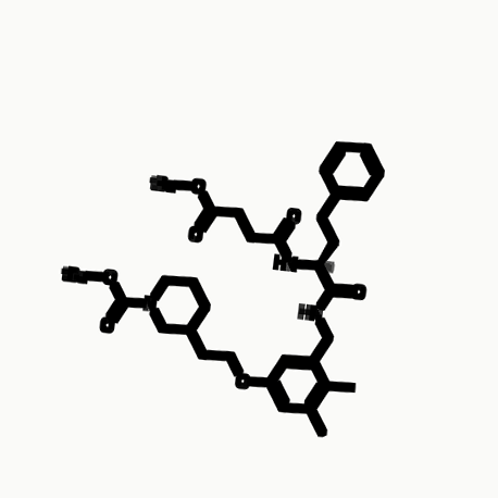 Cc1cc(OCCC2CCCN(C(=O)OC(C)(C)C)C2)cc(CNC(=O)[C@H](CCc2ccccc2)NC(=O)CCC(=O)OC(C)(C)C)c1C